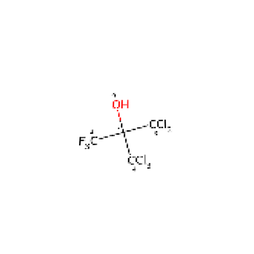 OC(C(F)(F)F)(C(Cl)(Cl)Cl)C(Cl)(Cl)Cl